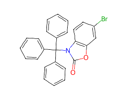 O=c1oc2cc(Br)ccc2n1C(c1ccccc1)(c1ccccc1)c1ccccc1